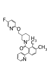 Cc1ccc(-c2ccccn2)c(C(=O)N2CCCC(COc3ccc(F)cn3)C2)c1C